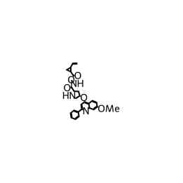 C=CC1CC1C(=O)ONC(=O)C1CC(Oc2cc(-c3ccccc3)nc3cc(OC)ccc23)CN1